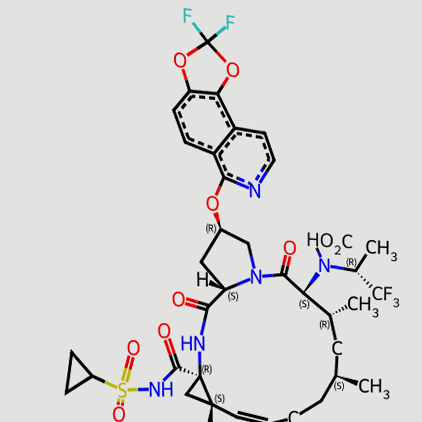 C[C@H]1CCC=C[C@@H]2C[C@@]2(C(=O)NS(=O)(=O)C2CC2)NC(=O)[C@@H]2C[C@@H](Oc3nccc4c5c(ccc34)OC(F)(F)O5)CN2C(=O)[C@@H](N(C(=O)O)[C@H](C)C(F)(F)F)[C@H](C)C1